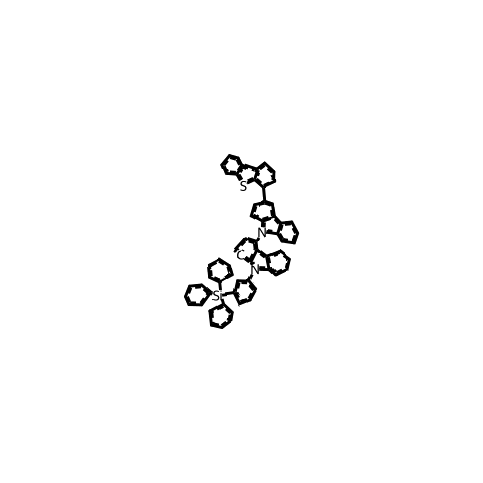 c1ccc([Si](c2ccccc2)(c2ccccc2)c2cccc(-n3c4ccccc4c4c(-n5c6ccccc6c6cc(-c7cccc8c7sc7ccccc78)ccc65)cccc43)c2)cc1